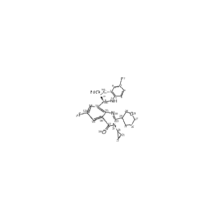 C[C@@H](Nc1ccc(F)cc1C(=O)O)c1cc(F)cc2c(=O)n(C3CC3)c(C3CCCOC3)nc12